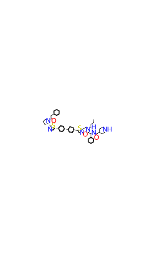 CCCCN(Cc1ncc(-c2ccc(-c3ccc(-c4cnc([C@@H]5CCCN5C(=O)Cc5ccccc5)s4)cc3)cc2)s1)C(=O)[C@H](NC(=O)C1CCNCC1)c1ccccc1